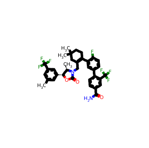 Cc1cc([C@H]2OC(=O)N(CC3=C(c4cc(-c5ccc(C(N)=O)cc5C(F)(F)F)ccc4F)CCC(C)(C)C3)[C@H]2C)cc(C(F)(F)F)c1